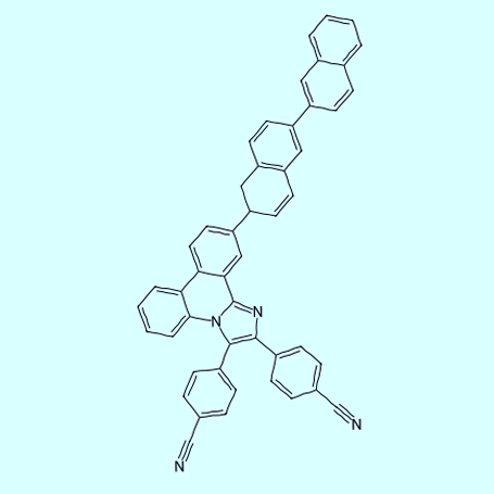 N#Cc1ccc(-c2nc3c4cc(C5C=Cc6cc(-c7ccc8ccccc8c7)ccc6C5)ccc4c4ccccc4n3c2-c2ccc(C#N)cc2)cc1